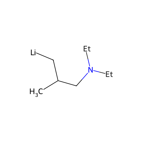 [Li][CH2]C(C)CN(CC)CC